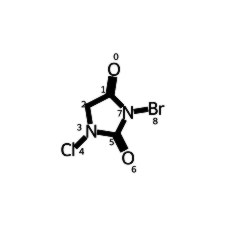 O=C1CN(Cl)C(=O)N1Br